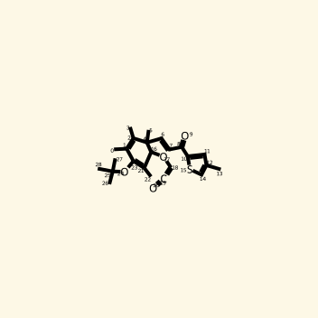 CC1=C(C)C(C)(C=CC(=O)c2cc(C)cs2)C(OC=C=O)C(C)=C1OC(C)(C)C